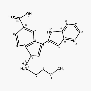 COCCN.Cn1cc(-c2cc3nccnc3[nH]2)c2cc(C(=O)O)ccc21